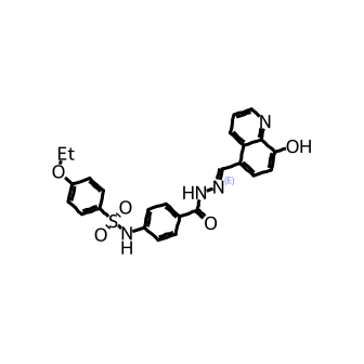 CCOc1ccc(S(=O)(=O)Nc2ccc(C(=O)N/N=C/c3ccc(O)c4ncccc34)cc2)cc1